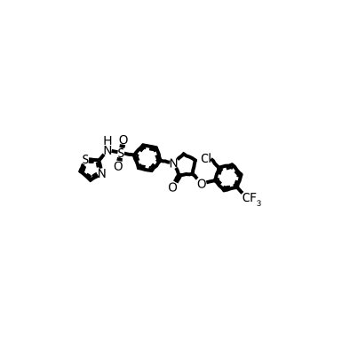 O=C1C(Oc2cc(C(F)(F)F)ccc2Cl)CCN1c1ccc(S(=O)(=O)Nc2nccs2)cc1